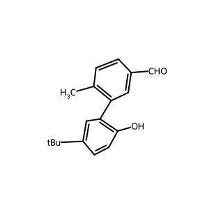 Cc1ccc(C=O)cc1-c1cc(C(C)(C)C)ccc1O